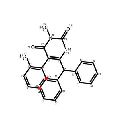 Cc1ccncc1-c1c(C(c2ccccc2)c2ccccc2)[nH]c(=O)n(C)c1=O